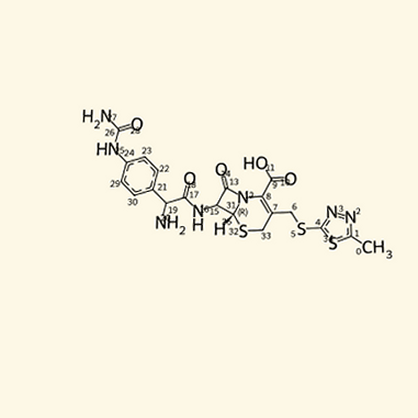 Cc1nnc(SCC2=C(C(=O)O)N3C(=O)C(NC(=O)C(N)c4ccc(NC(N)=O)cc4)[C@H]3SC2)s1